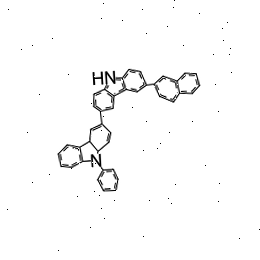 C1=CC2C(C=C1c1ccc3[nH]c4ccc(-c5ccc6ccccc6c5)cc4c3c1)c1ccccc1N2c1ccccc1